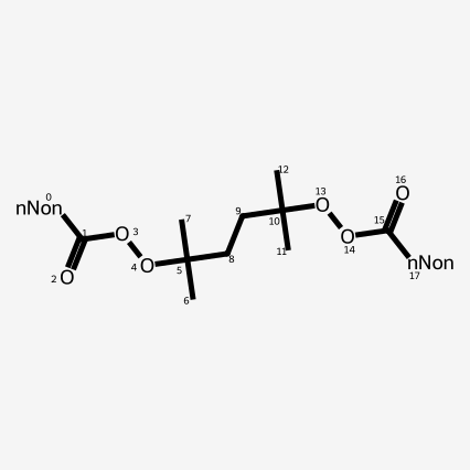 CCCCCCCCCC(=O)OOC(C)(C)CCC(C)(C)OOC(=O)CCCCCCCCC